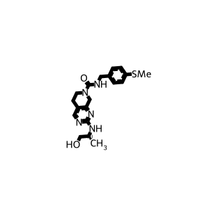 CSc1ccc(CNC(=O)N2CCc3cnc(N[C@@H](C)CO)nc3C2)cc1